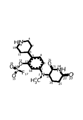 CN(c1ccc(C2CCNCC2)c(OS(=O)(=O)F)c1)C1CCC(=O)NC1=O